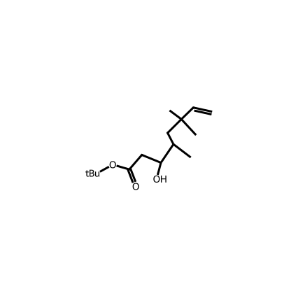 C=CC(C)(C)CC(C)C(O)CC(=O)OC(C)(C)C